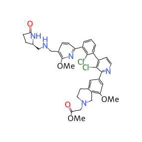 COC(=O)CN1CCc2cc(-c3nccc(-c4cccc(-c5ccc(CNC[C@H]6CCC(=O)N6)c(OC)n5)c4Cl)c3Cl)cc(OC)c2C1